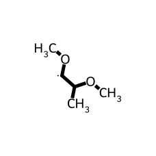 CO[CH]C(C)OC